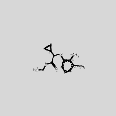 CCOC(=O)C(Oc1cccc(N)c1C)C1CC1